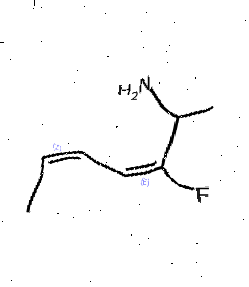 C/C=C\C=C(\F)C(C)N